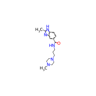 Cc1nc2cc(C(=O)NCCCN3CCN(C)CC3)ccc2[nH]1